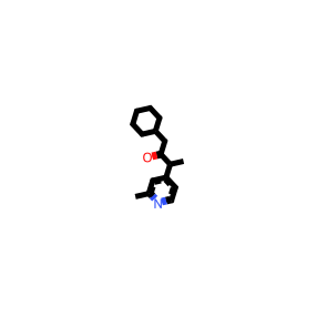 Cc1cc(C(C)C(=O)CC2CCCCC2)ccn1